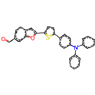 O=Cc1ccc2cc(-c3ccc(-c4ccc(N(c5ccccc5)c5ccccc5)cc4)s3)oc2c1